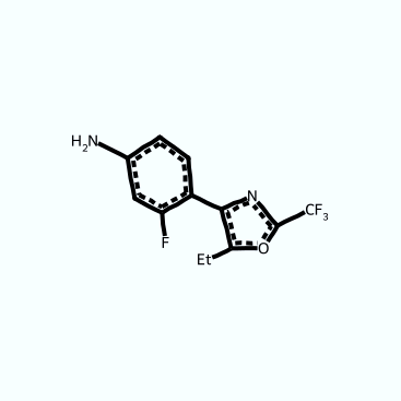 CCc1oc(C(F)(F)F)nc1-c1ccc(N)cc1F